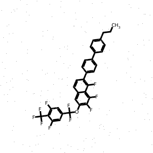 CCCc1ccc(-c2ccc(-c3ccc4cc(OC(F)(F)c5cc(F)c(C(F)(F)F)c(F)c5)c(F)c(F)c4c3F)cc2)cc1